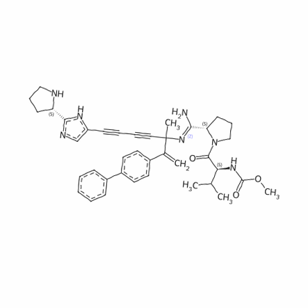 C=C(c1ccc(-c2ccccc2)cc1)C(C)(C#CC#Cc1cnc([C@@H]2CCCN2)[nH]1)/N=C(\N)[C@@H]1CCCN1C(=O)[C@@H](NC(=O)OC)C(C)C